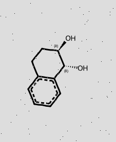 O[C@@H]1CCc2ccccc2[C@H]1O